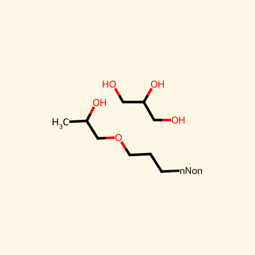 CCCCCCCCCCCCOCC(C)O.OCC(O)CO